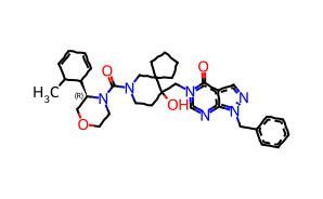 CC1C=CC=CC1[C@@H]1COCCN1C(=O)N1CCC(O)(Cn2cnc3c(cnn3Cc3ccccc3)c2=O)C2(CCCC2)C1